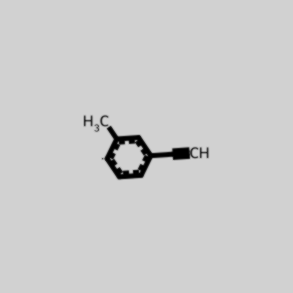 C#Cc1cc[c]c(C)c1